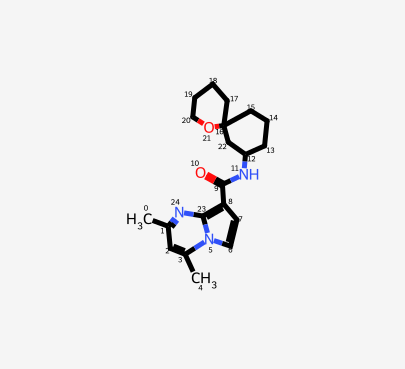 Cc1cc(C)n2ccc(C(=O)NC3CCCC4(CCCCO4)C3)c2n1